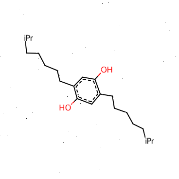 CC(C)CCCCCc1cc(O)c(CCCCCC(C)C)cc1O